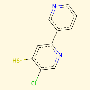 Sc1cc(-c2cccnc2)ncc1Cl